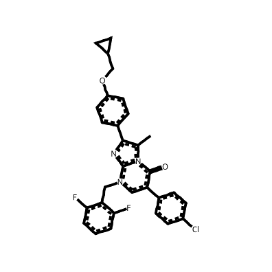 Cc1c(-c2ccc(OCC3CC3)cc2)nc2n(Cc3c(F)cccc3F)cc(-c3ccc(Cl)cc3)c(=O)n12